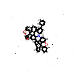 c1ccc(-c2ccc(N(c3ccc4c(c3)C3(c5ccccc5O4)c4ccccc4-c4ccccc43)c3cccc4c3-c3ccccc3C43c4ccccc4Oc4ccccc43)cc2)cc1